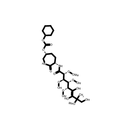 COO[C@@H](C(=O)N[C@H]1CC[C@@H](OC(=O)OC2CCCCC2)CNC1=O)[C@H](OO)[C@H](OO)[C@@H](OO)/C(O)=C(\O)C(C)(CO)OC